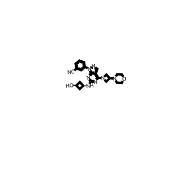 N#Cc1cccc(-n2ncc3c(N4CC(N5CCOCC5)C4)nc(N[C@H]4C[C@H](O)C4)nc32)c1